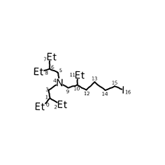 CCC(CC)CN(CC(CC)CC)CC(CC)CCCCI